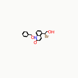 O=c1ccc2c(C(Br)CO)cccc2n1OCc1ccccc1